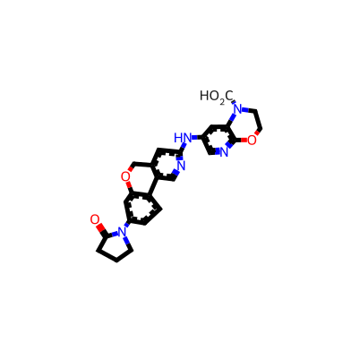 O=C1CCCN1c1ccc2c(c1)OCc1cc(Nc3cnc4c(c3)N(C(=O)O)CCO4)ncc1-2